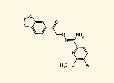 COc1nc(/C(N)=N/OCC(=O)c2ccc3ncsc3c2)ccc1Br